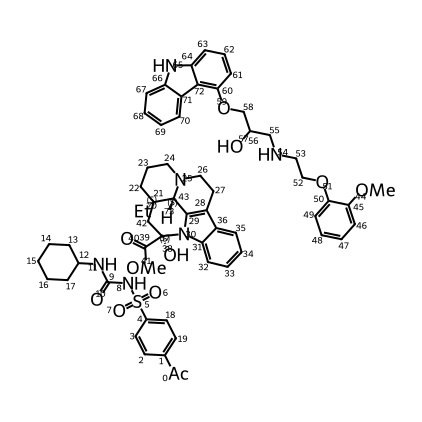 CC(=O)c1ccc(S(=O)(=O)NC(=O)NC2CCCCC2)cc1.CC[C@]12CCCN3CCc4c(n(c5ccccc45)[C@@](O)(C(=O)OC)C1)[C@@H]32.COc1ccccc1OCCNCC(O)COc1cccc2[nH]c3ccccc3c12